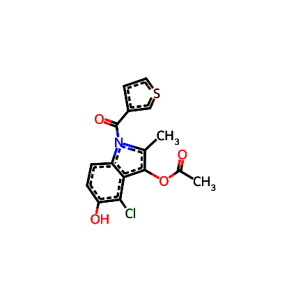 CC(=O)Oc1c(C)n(C(=O)c2ccsc2)c2ccc(O)c(Cl)c12